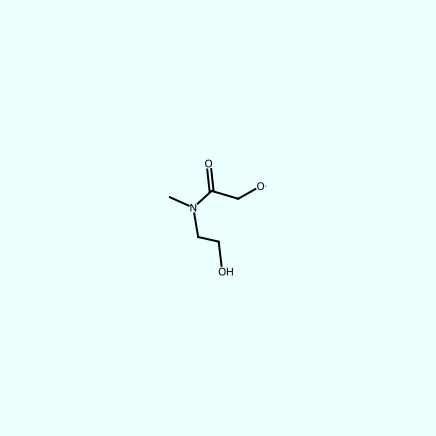 CN(CCO)C(=O)C[O]